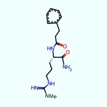 CNC(=N)NCCC[C@H](NC(=O)CCc1ccccc1)C(N)=O